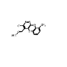 COCc1c(Cl)nnc(Oc2ccccc2C)c1O